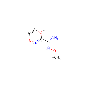 CO/N=C(\N)C1=NOC=CO1